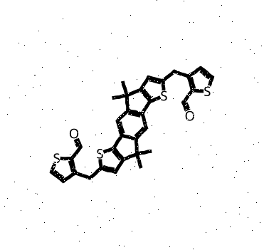 CC1(C)c2cc3c(cc2-c2sc(Cc4ccsc4C=O)cc21)C(C)(C)c1cc(Cc2ccsc2C=O)sc1-3